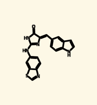 O=C1NC(Nc2ccc3ncsc3c2)=NC1=Cc1ccc2[nH]ccc2c1